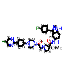 CO[C@@]1(C(=O)Nc2ccc3[nH]nc(-c4ccc(F)cc4)c3c2)CCN(CC(=O)N2CCN(c3ccc(-c4ncc(F)cn4)cc3)CC2)C1